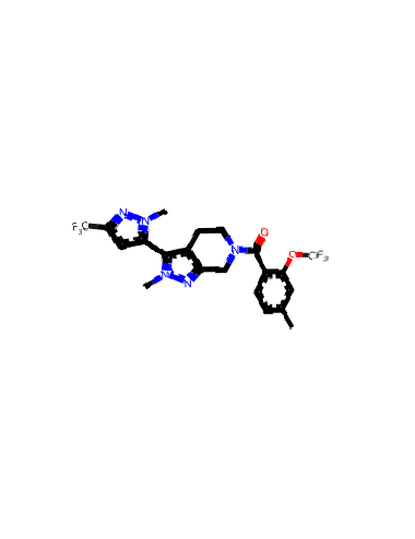 Cc1ccc(C(=O)N2CCc3c(nn(C)c3-c3cc(C(F)(F)F)nn3C)C2)c(OC(F)(F)F)c1